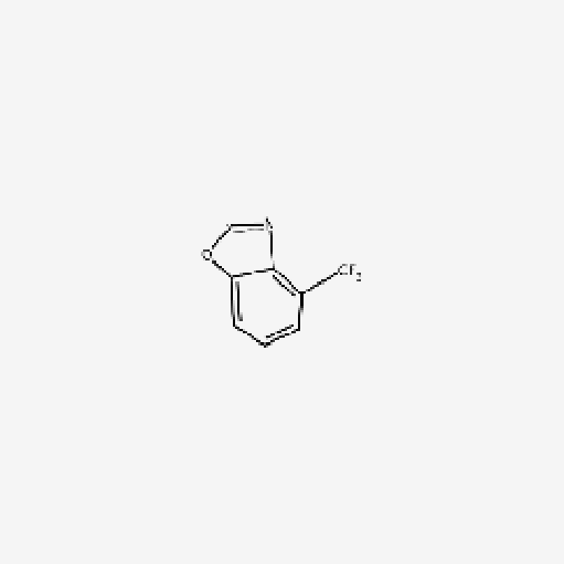 FC(F)(F)c1cccc2o[c]nc12